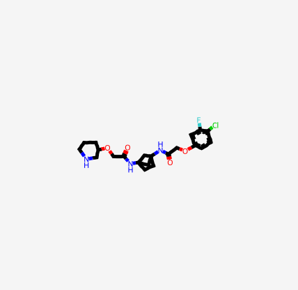 O=C(COc1ccc(Cl)c(F)c1)NC12CCC(NC(=O)COC3CCCNC3)(C1)C2